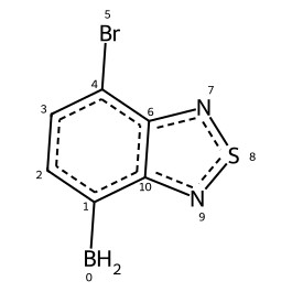 Bc1ccc(Br)c2nsnc12